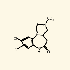 O=C1CC2CN(C(=O)O)CCN2c2cc(Cl)c(Cl)cc2N1